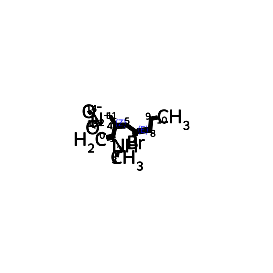 C=C(NC)/C(=C\C(Br)=C/CC)C[N+](=O)[O-]